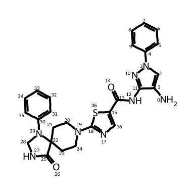 Nc1cn(-c2ccccc2)nc1NC(=O)c1cnc(N2CCC3(CC2)C(=O)NCN3c2ccccc2)s1